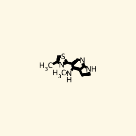 CNc1c(-c2nc(C)cs2)cnc2[nH]ccc12